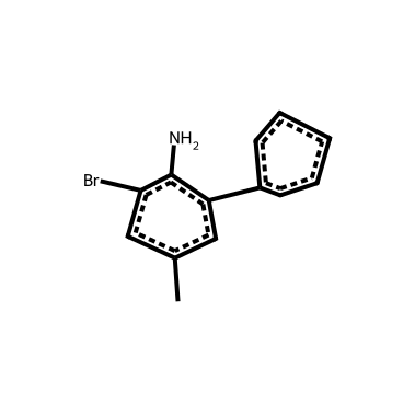 Cc1cc(Br)c(N)c(-c2ccccc2)c1